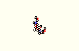 CC1(C)c2cc(N(c3ccc4oc5ccccc5c4c3)c3ccccc3-c3ccccc3)ccc2-c2c(-c3ccccc3)c3ccc(N(c4ccc5oc6ccccc6c5c4)c4ccccc4-c4ccccc4)cc3c3cccc1c23